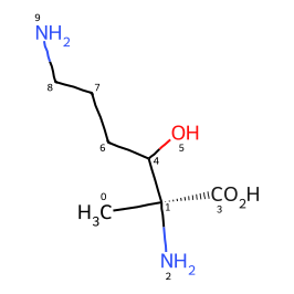 C[C@@](N)(C(=O)O)C(O)CCCN